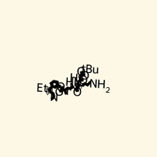 CC[C@@H](c1cccc(OC(=O)N(C)CCNC(=O)[C@H](CCCCN)NC(=O)CC(=O)OC(C)(C)C)c1)[C@@H](C)CN(C)C